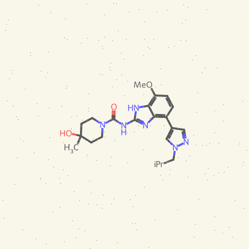 COc1ccc(-c2cnn(CC(C)C)c2)c2nc(NC(=O)N3CCC(C)(O)CC3)[nH]c12